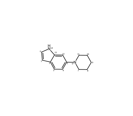 c1cc2ccc(N3CCCCC3)cc2[nH]1